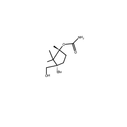 CC(C)(C)[C@@]1(CO)CC[C@@](C)(OC(N)=O)C1(C)C